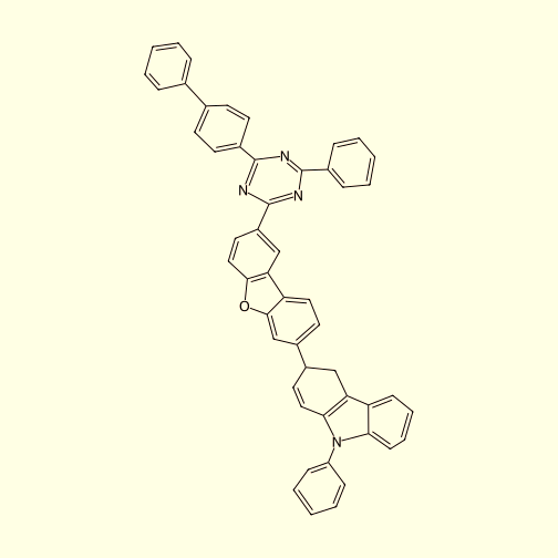 C1=CC(c2ccc3c(c2)oc2ccc(-c4nc(-c5ccccc5)nc(-c5ccc(-c6ccccc6)cc5)n4)cc23)Cc2c1n(-c1ccccc1)c1ccccc21